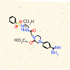 CC(=O)O.N=C(N)c1ccc(N2CCN(CC(=O)NC[C@H](NS(=O)(=O)c3ccccc3)C(=O)O)C(=O)C2)cc1